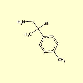 CCC(C)(CN)c1ccc(C)cc1